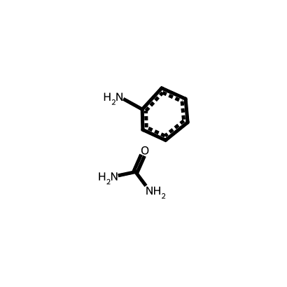 NC(N)=O.Nc1ccccc1